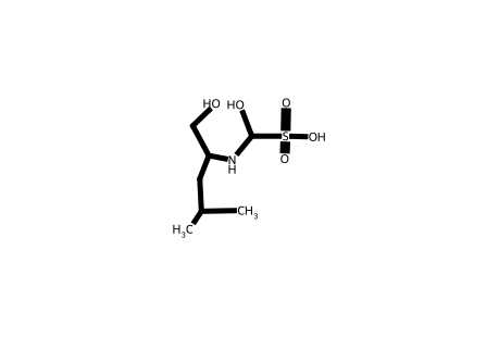 CC(C)CC(CO)NC(O)S(=O)(=O)O